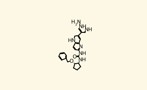 N=C/C(=C\NN)C1=Cc2nc(NC(=O)N[C@H]3CCC[C@@H]3OCc3ccccc3)ccc2NC1